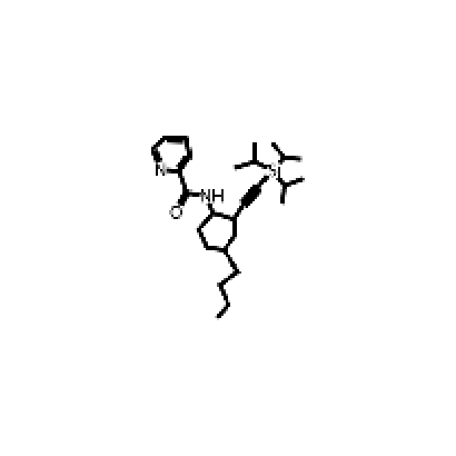 CCCCC1CCC(NC(=O)c2ccccn2)C(C#C[Si](C(C)C)(C(C)C)C(C)C)C1